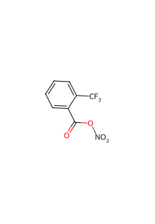 O=C(O[N+](=O)[O-])c1ccccc1C(F)(F)F